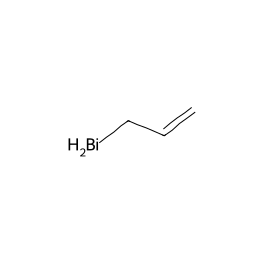 C=C[CH2][BiH2]